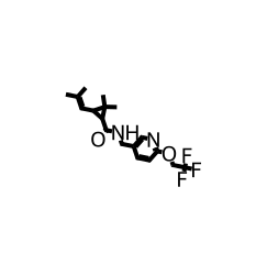 CC(C)=CC1C(C(=O)NCc2ccc(OCC(F)(F)F)nc2)C1(C)C